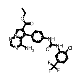 CCOC(=O)c1cn2ncnc(N)c2c1-c1ccc(NC(=O)Nc2cc(C(F)(F)F)ccc2Cl)cc1